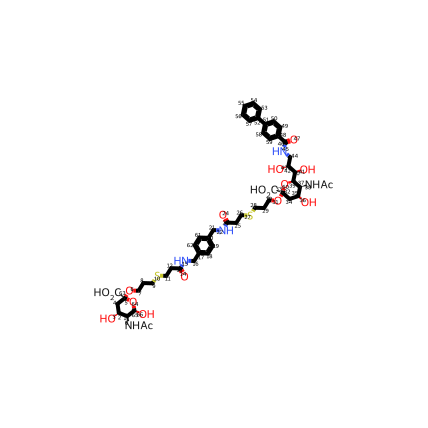 CC(=O)N[C@H]1[C@H](O)C[C@](OCCCSCCC(=O)NCc2ccc(CNC(=O)CCSCCCO[C@]3(C(=O)O)C[C@H](O)[C@@H](NC(C)=O)[C@H]([C@H](O)[C@H](O)CNC(=O)c4ccc(-c5ccccc5)cc4)O3)cc2)(C(=O)O)O[C@H]1O